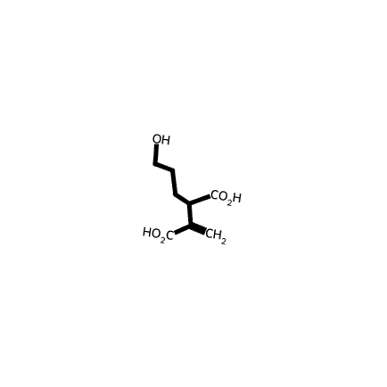 C=C(C(=O)O)C(CCCO)C(=O)O